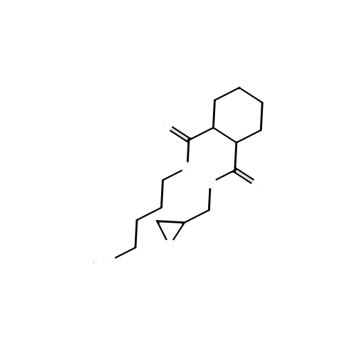 CCCCCCCCCCCCCCOC(=O)C1CCCCC1C(=O)OCC1CO1